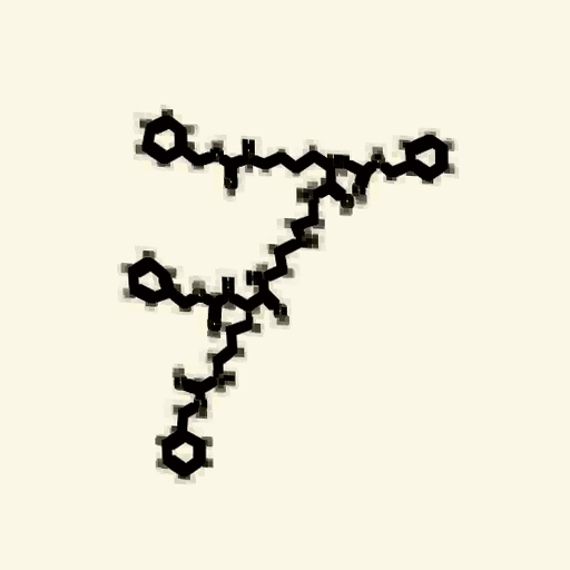 O=C(NCCCCC(NC(=O)OCc1ccccc1)C(=O)NCCNCCNC(=O)[C@H](CCCCNC(=O)OCc1ccccc1)NC(=O)OCc1ccccc1)OCc1ccccc1